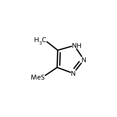 [CH2]Sc1nn[nH]c1C